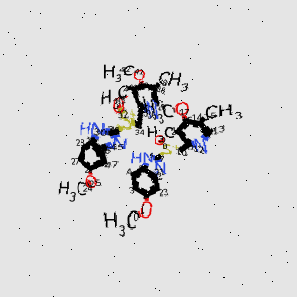 COc1ccc2[nH]c([S+]([O-])Cc3ncc(C)c(OC)c3C)nc2c1.COc1ccc2[nH]c([S+]([O-])Cc3ncc(C)c(OC)c3C)nc2c1